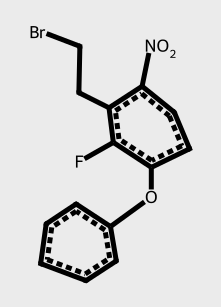 O=[N+]([O-])c1ccc(Oc2ccccc2)c(F)c1CCBr